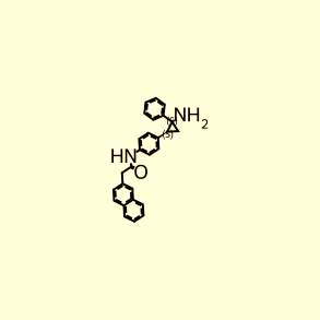 N[C@@]1(c2ccccc2)C[C@H]1c1ccc(NC(=O)Cc2ccc3ccccc3c2)cc1